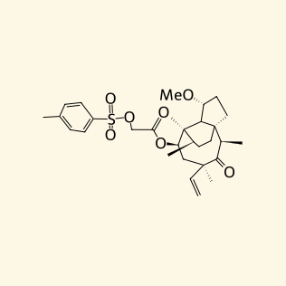 C=C[C@@]1(C)C[C@@H](OC(=O)COS(=O)(=O)c2ccc(C)cc2)[C@@]2(C)C3[C@H](OC)CC[C@@]3(CC[C@H]2C)[C@@H](C)C1=O